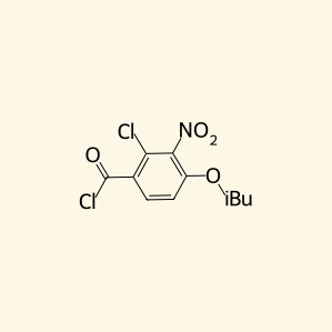 CCC(C)Oc1ccc(C(=O)Cl)c(Cl)c1[N+](=O)[O-]